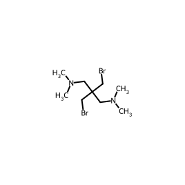 CN(C)CC(CBr)(CBr)CN(C)C